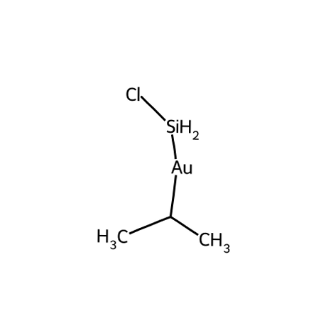 C[CH](C)[Au][SiH2]Cl